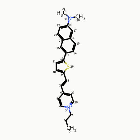 CCC[n+]1ccc(/C=C/c2ccc(-c3ccc4cc(N(C)C)ccc4c3)s2)cc1